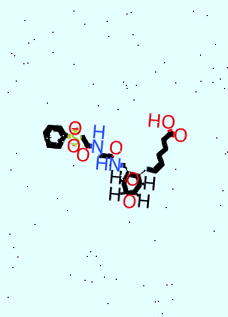 O=C(O)CCC/C=C\C[C@H]1[C@@H](CNC(=O)CNC(=O)CS(=O)(=O)c2ccccc2)[C@@H]2O[C@H]1[C@@H]1O[C@@H]12